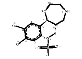 CS(=O)(=O)NC[C@H]1CNCCO[C@@H]1c1ccc(Cl)c(Cl)c1